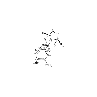 CC(C)(C)OC(=O)N1[C@@H]2CC[C@H]1CN(c1ccc([N+](=O)[O-])c(N)n1)C2